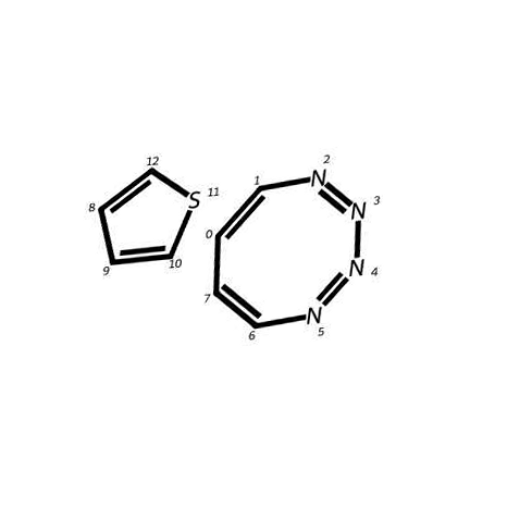 C1=CN=NN=NC=C1.c1ccsc1